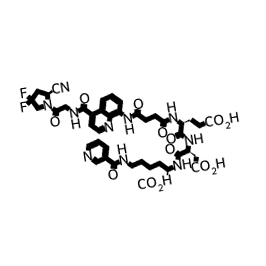 N#C[C@@H]1CC(F)(F)CN1C(=O)CNC(=O)c1ccnc2c(NC(=O)CCC(=O)N[C@H](CCC(=O)O)C(=O)N[C@H](CC(=O)O)C(=O)N[C@@H](CCCCNC(=O)c3cccnc3)C(=O)O)cccc12